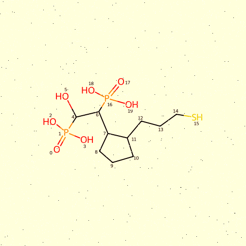 O=P(O)(O)C(O)C(C1CCCC1CCCS)P(=O)(O)O